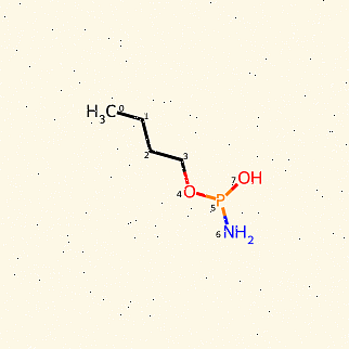 CCCCOP(N)O